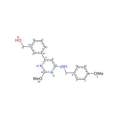 COc1ccc(CNc2cc(-c3cccc(CO)c3)nc(OC)n2)cc1